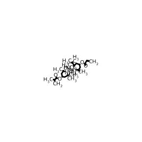 C=CC(=O)OC1CC(C)(C)N(SSN2C(C)(C)CC(OC(=O)C(=C)C)CC2(C)C)C(C)(C(C)(C)C)C1